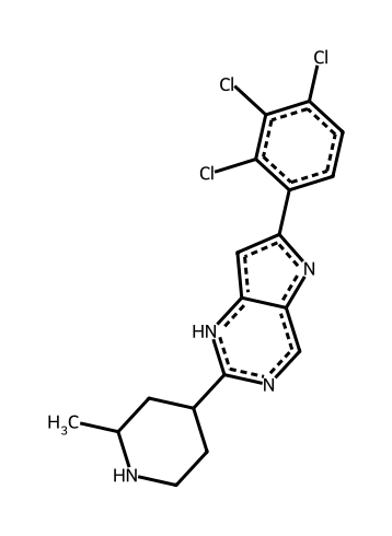 CC1CC(c2ncc3nc(-c4ccc(Cl)c(Cl)c4Cl)cc-3[nH]2)CCN1